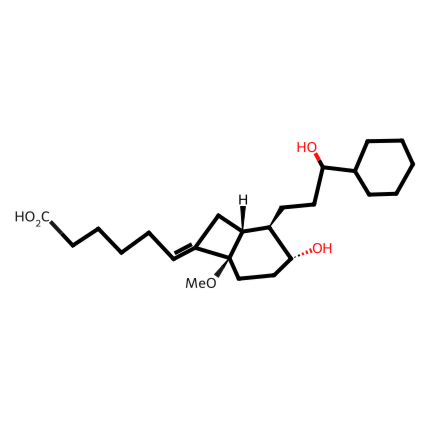 CO[C@]12CC[C@@H](O)[C@H](CCC(O)C3CCCCC3)[C@H]1CC2=CCCCCC(=O)O